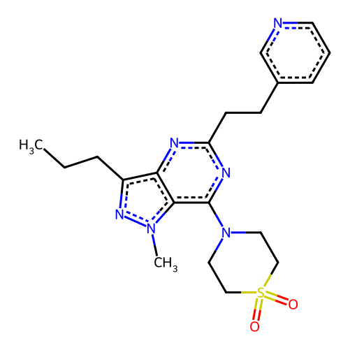 CCCc1nn(C)c2c(N3CCS(=O)(=O)CC3)nc(CCc3cccnc3)nc12